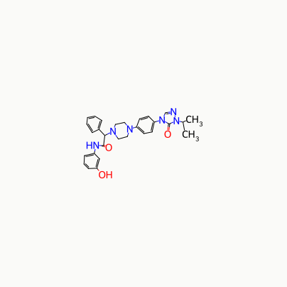 CC(C)n1ncn(-c2ccc(N3CCN(C(C(=O)Nc4cccc(O)c4)c4ccccc4)CC3)cc2)c1=O